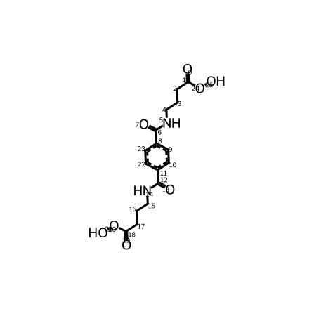 O=C(CCCNC(=O)c1ccc(C(=O)NCCCC(=O)OO)cc1)OO